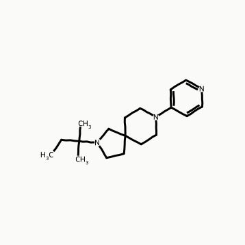 CCC(C)(C)N1CCC2(CCN(c3ccncc3)CC2)C1